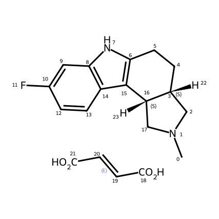 CN1C[C@H]2CCc3[nH]c4cc(F)ccc4c3[C@H]2C1.O=C(O)/C=C/C(=O)O